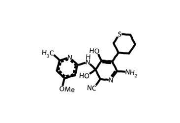 COc1cc(C)nc(NC2(O)C(O)=C(C3CCCSC3)C(N)=NC2C#N)c1